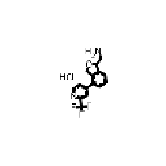 Cl.NCC1OCc2c(-c3ccnc(C(F)(F)F)c3)cccc21